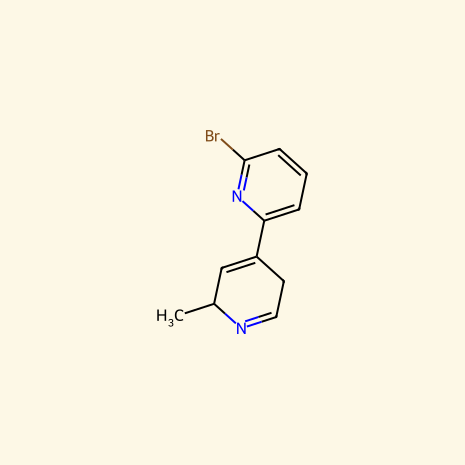 CC1C=C(c2cccc(Br)n2)CC=N1